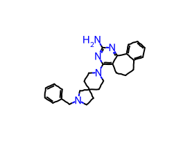 Nc1nc2c(c(N3CCC4(CCN(Cc5ccccc5)C4)CC3)n1)CCCc1ccccc1-2